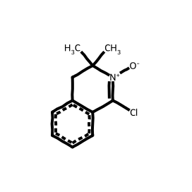 CC1(C)Cc2ccccc2C(Cl)=[N+]1[O-]